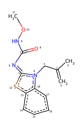 C=C(C)Cn1c(=NC(=O)NOC)sc2ccccc21